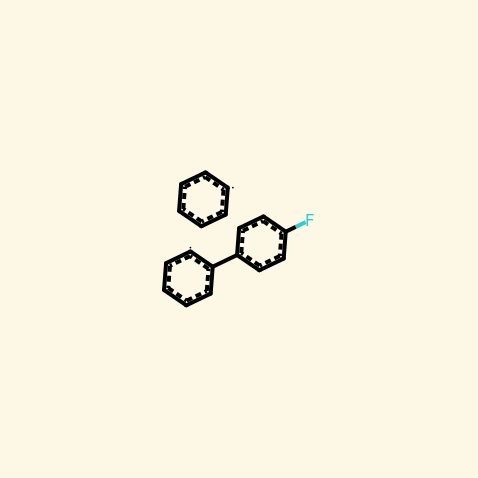 Fc1ccc(-c2[c]cccc2)cc1.[c]1ccccc1